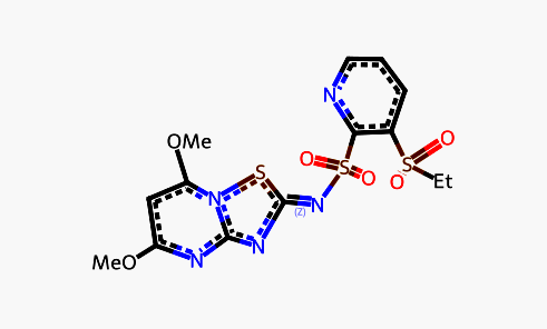 CCS(=O)(=O)c1cccnc1S(=O)(=O)/N=c1/nc2nc(OC)cc(OC)n2s1